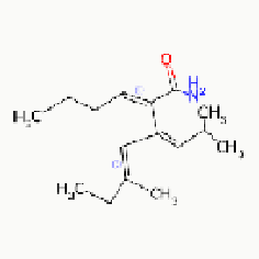 CCC/C=C(/C(N)=O)C(=CC(C)C)/C=C(\C)CC